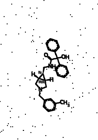 Cc1cccc(CN2C[C@@H]3[C@@H](CNC(=O)C(O)(c4ccccc4)c4ccccc4)[C@@H]3C2)c1